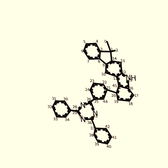 CC1(C)c2ccccc2-c2cc3c(cc21)[nH]c1cccc(-c2cccc(-c4nc(-c5ccccc5)nc(-c5ccccc5)n4)c2)c13